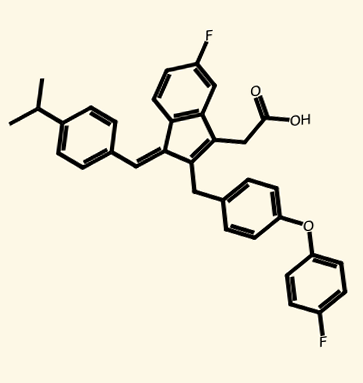 CC(C)c1ccc(/C=C2/C(Cc3ccc(Oc4ccc(F)cc4)cc3)=C(CC(=O)O)c3cc(F)ccc32)cc1